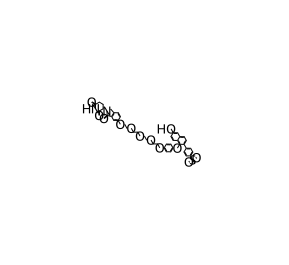 CS(=O)(=O)c1ccc(-c2ccc3cc(O)ccc3c2Oc2ccc(OCCOCCOCCOCCOc3ccc4c(c3)C(=O)N(C3CCC(=O)NC3=O)C4)cc2)cc1